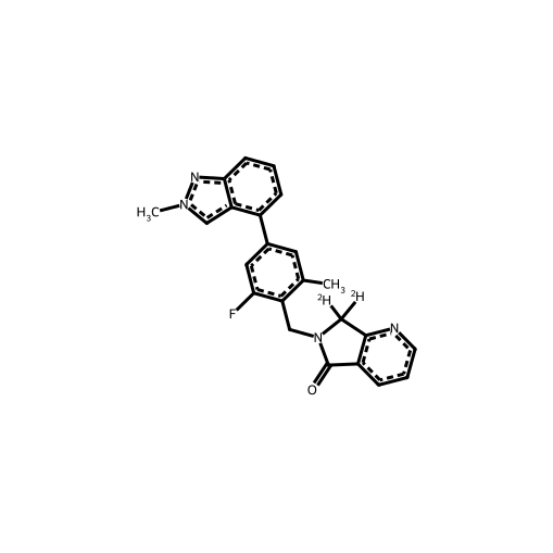 [2H]C1([2H])c2ncccc2C(=O)N1Cc1c(C)cc(-c2cccc3nn(C)cc23)cc1F